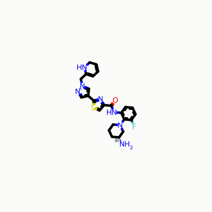 N[C@@H]1CCCN(c2c(F)cccc2NC(=O)c2csc(-c3cnn(CC4=CC=CCN4)c3)n2)C1